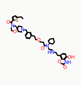 CCc1ccc(C(=O)N2CCOC3(CCN(Cc4cccc(CCOCCC(=O)N(CCNCCc5ccc(O)c6c5OCC(=O)N6)C5CCCCC5)c4)CC3)C2)s1